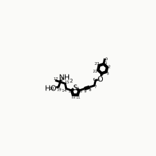 Cc1ccc(OCCC#Cc2ccc(CCC(C)(N)CO)s2)cc1